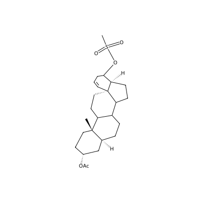 CC(=O)O[C@@H]1CC[C@]2(C)C3CC[C@]45C=CCC(OS(C)(=O)=O)[C@H]4CCC5C3CC[C@H]2C1